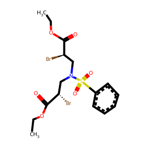 CCOC(=O)[C@H](Br)CN(C[C@H](Br)C(=O)OCC)S(=O)(=O)c1ccccc1